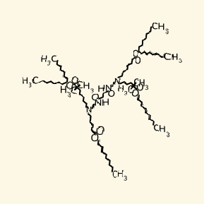 CCCCCCCCCCCOC(=O)CCCCCN(CCCCCCC(C)(C)C(=O)OC(CCCCCCCC)CCCCCCCC)CCNC(=O)CCC(=O)NCCN(CCCCCCCC(=O)OC(CCCCCCCC)CCCCCCCC)CCCCC(C)(C)C(=O)OCCCCCCCCCCC